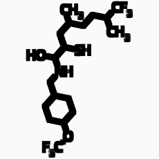 CC(CCC(C)C(F)(F)F)CC(S)C(O)NCC1CCC(OC(F)(F)F)CC1